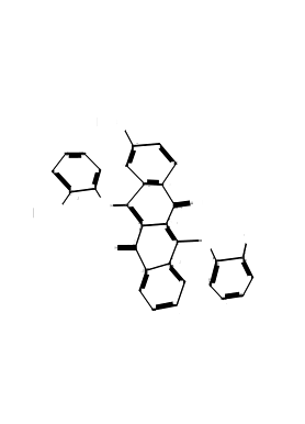 Cc1ccc2c(c1)C(Oc1ccccc1C)=C1C(=O)c3ccccc3C(Oc3ccccc3C)=C1C2=O